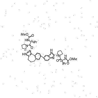 COC(=O)N[C@H](C(=O)N1CCC[C@H]1c1nc2c([nH]1)CCCc1cc(-c3ccc4nc([C@@H]5CCCN5C(=O)[C@@H](NC(=O)OC)C(C)C)[nH]c4c3)ccc1-2)C(C)C